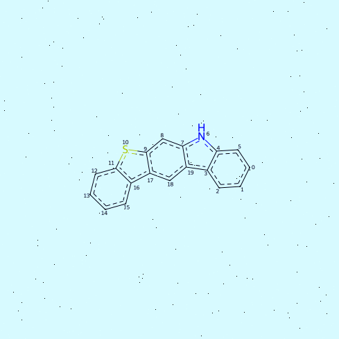 [c]1ccc2c(c1)[nH]c1cc3sc4ccccc4c3cc12